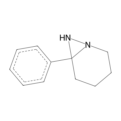 c1ccc(C23CCCCN2N3)cc1